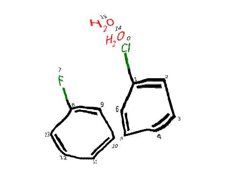 Clc1ccccc1.Fc1ccccc1.O.O